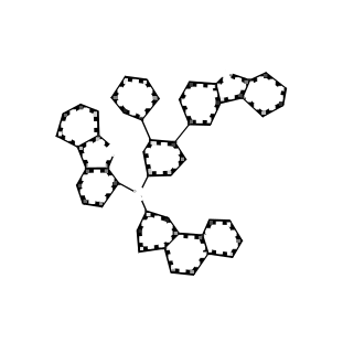 c1ccc(-c2cc(N(c3ccc4ccc5ccccc5c4c3)c3cccc4c3oc3ccccc34)ccc2-c2ccc3sc4ccccc4c3c2)cc1